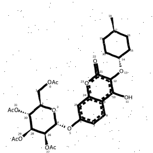 CC(=O)OC[C@H]1O[C@H](Oc2ccc3c(O)c(O[C@H]4CC[C@H](C)CC4)c(=O)oc3c2)[C@@H](OC(C)=O)[C@@H](OC(C)=O)[C@@H]1OC(C)=O